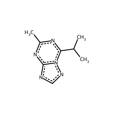 Cc1nc(C(C)C)n2ncnc2n1